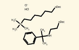 CCCCCCCCCCCCCCCC[N+](C)(C)C.CCCCCCCCCCCCNC(C)(C)c1ccccc1.Cl.[Cl-]